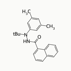 Cc1cc(C)cc(N(NC(=O)c2cccc3ccccc23)C(C)(C)C)c1